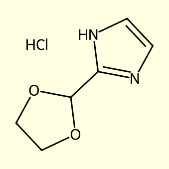 Cl.c1c[nH]c(C2OCCO2)n1